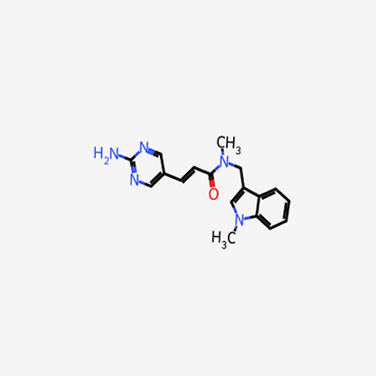 CN(Cc1cn(C)c2ccccc12)C(=O)C=Cc1cnc(N)nc1